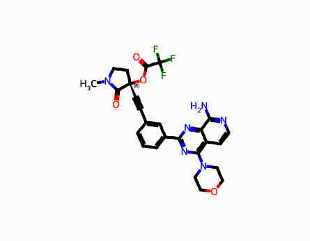 CN1CC[C@](C#Cc2cccc(-c3nc(N4CCOCC4)c4ccnc(N)c4n3)c2)(OC(=O)C(F)(F)F)C1=O